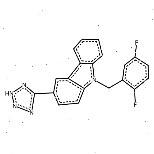 Fc1ccc(F)c(Cn2c3ccccc3c3cc(-c4nn[nH]n4)ccc32)c1